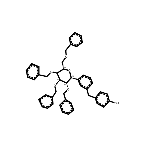 Oc1ccc(Cc2cccc([C@@H]3O[C@H](COCc4ccccc4)C(OCc4ccccc4)[C@H](OCc4ccccc4)[C@H]3OCc3ccccc3)c2)cc1